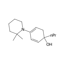 CCCC1(O)C=CC(N2CCCCC2(C)C)=CC1